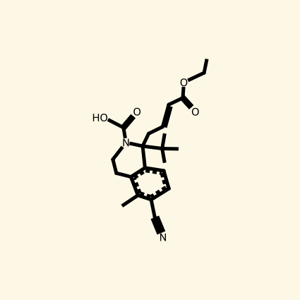 CCOC(=O)/C=C/CC1(C(C)(C)C)c2ccc(C#N)c(C)c2CCN1C(=O)O